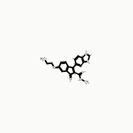 CCCOc1ccc2c(c1)C(=O)C(C(=O)OC)=C2c1ccc2c(c1)OCO2